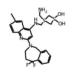 Cc1ccc2nc(N3CCC(F)(F)c4ccccc4C3)cc(NCS3(CN)CS(O)(O)C3)c2c1